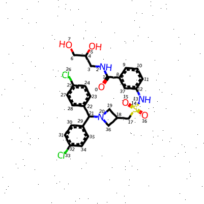 O=C(NCC(O)CO)c1cccc(NS(=O)(=O)CC2CN(C(c3ccc(Cl)cc3)c3ccc(Cl)cc3)C2)c1